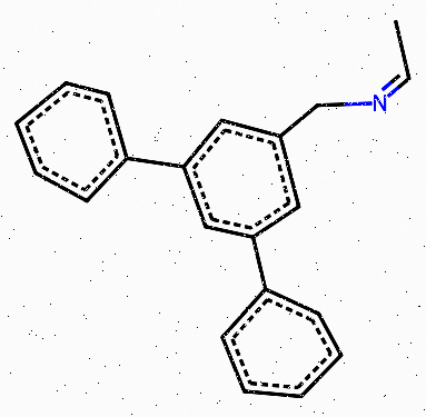 C/C=N\Cc1cc(-c2ccccc2)cc(-c2ccccc2)c1